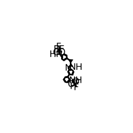 O=S(=O)(Nc1ccc(C2CC2c2nc3cc(-c4ccccc4NS(=O)(=O)C(F)(F)F)ccc3[nH]2)cc1)C(F)(F)F